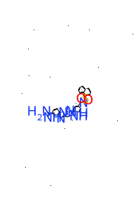 N=C(N)c1ccc2[nH]c(Cc3nc4cc(CNS(=O)(=O)c5cccc6ccccc56)ccc4[nH]3)nc2c1